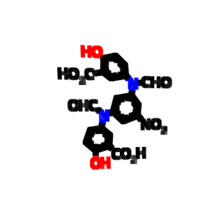 O=CN(c1cc(N(C=O)c2ccc(O)c(C(=O)O)c2)cc([N+](=O)[O-])c1)c1ccc(O)c(C(=O)O)c1